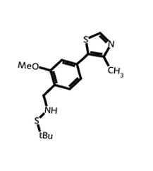 COc1cc(-c2scnc2C)ccc1CNSC(C)(C)C